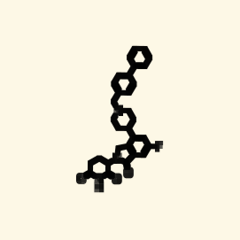 O=C1CCC(N2Cc3c(cc(F)cc3C3CCN(Cc4ccc(-c5ccccc5)cc4)CC3)C2=O)C(=O)N1